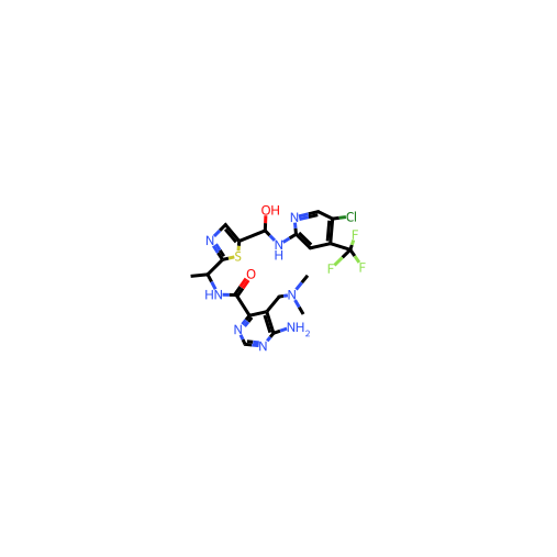 CC(NC(=O)c1ncnc(N)c1CN(C)C)c1ncc(C(O)Nc2cc(C(F)(F)F)c(Cl)cn2)s1